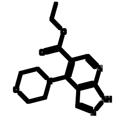 CCOC(=O)c1cnc2[nH]ncc2c1N1CCOCC1